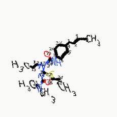 CCCCc1ccc(NC(=O)N(CCC)C(=NC(=O)N(C)C)SCCC)cc1